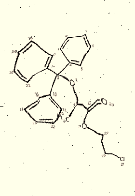 C[C@@H](OC(c1ccccc1)(c1ccccc1)c1ccccc1)C(=O)OCCCl